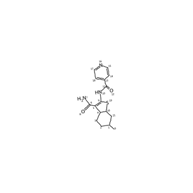 CC1CCC2C(C(N)=O)=C(NC(=O)c3ccncc3)SC2C1